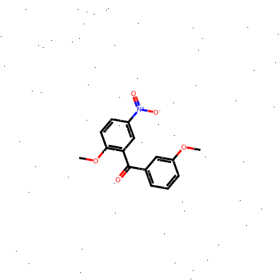 COc1cccc(C(=O)c2cc([N+](=O)[O-])ccc2OC)c1